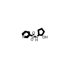 O=S(=O)(NC1CCCC1O)c1cccnc1